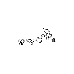 CCCCc1nc2ccc(C)cc2c(=O)n1Cc1ccc(OCc2ccc(-c3nnn[nH]3)cc2Cl)cc1